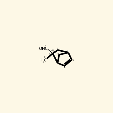 C[C@@]1(C=O)CC2C=CC1C2